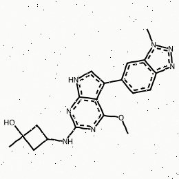 COc1nc(NC2CC(C)(O)C2)nc2[nH]cc(-c3ccc4nnn(C)c4c3)c12